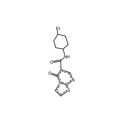 CCC1CCC(NC(=O)c2cnc3sccn3c2=O)CC1